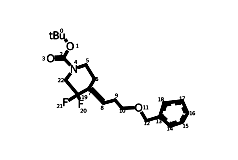 CC(C)(C)OC(=O)N1CC/C(=C\CCOCc2ccccc2)C(F)(F)C1